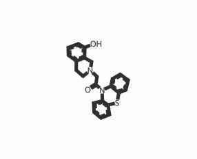 O=C(CN1CCc2cccc(O)c2C1)N1c2ccccc2Sc2ccccc21